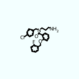 NCCCN(Cc1ccc(Cl)cc1)C(=O)c1ccccc1OCc1ccccc1F